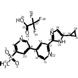 CS(=O)(=O)c1cncc(-c2ccnc(-c3ncc(C4CC4)[nH]3)c2)c1.O=C(O)C(F)(F)F